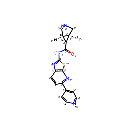 O=C(Nc1nc2ccc(-c3ccncc3)nc2s1)C1[C@H]2CNC[C@@H]12